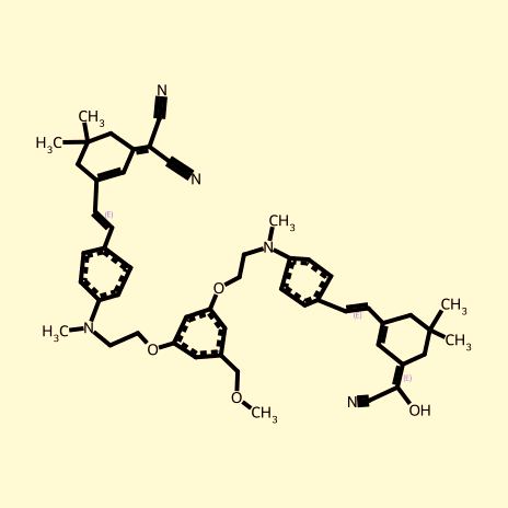 COCc1cc(OCCN(C)c2ccc(/C=C/C3=CC(=C(C#N)C#N)CC(C)(C)C3)cc2)cc(OCCN(C)c2ccc(/C=C/C3=CC(=C(/O)C#N)/CC(C)(C)C3)cc2)c1